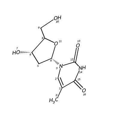 Cc1cn([C@@H]2C[C@H](O)C(CO)O2)c(=O)[nH]c1=O